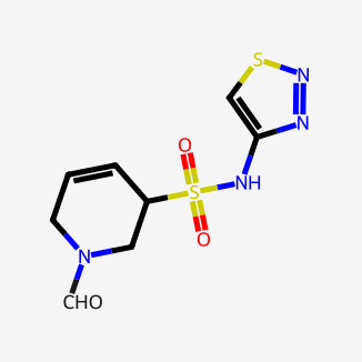 O=CN1CC=CC(S(=O)(=O)Nc2csnn2)C1